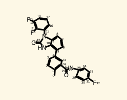 Cc1ccc(-c2cccc3c2[nH]c(=O)n3-c2cccc(F)c2F)cc1C(=O)Nc1ccc(F)cc1